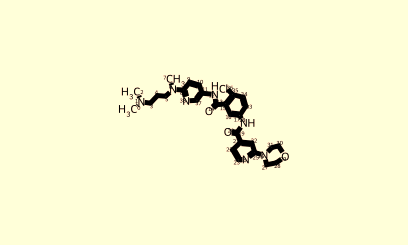 CN(C)CCCN(C)c1ccc(NC(=O)c2cc(NC(=O)c3ccnc(N4CCOCC4)c3)ccc2Cl)cn1